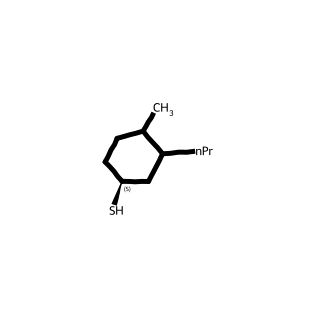 CCCC1C[C@@H](S)CCC1C